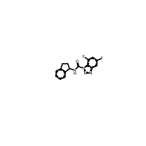 O=C(NC1CCc2ccccc21)n1nnc2cc(F)cc(F)c21